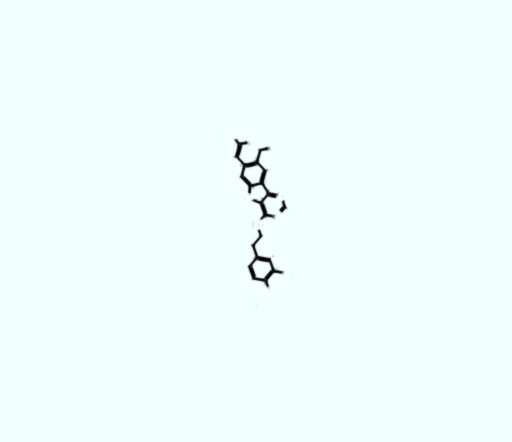 COc1ccc(CCNc2ncnc3c2sc2cc(C=C(C)C)c(CCl)cc23)cc1F